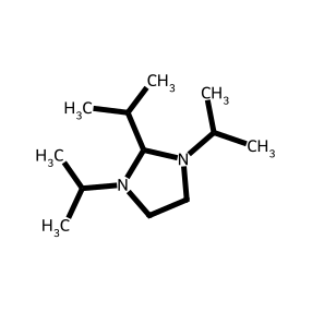 CC(C)C1N(C(C)C)CCN1C(C)C